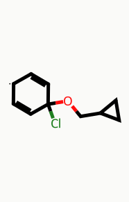 ClC1(OCC2CC2)C=C[CH]C=C1